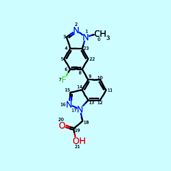 Cn1ncc2cc(F)c(-c3cccc4c3cnn4CC(=O)O)cc21